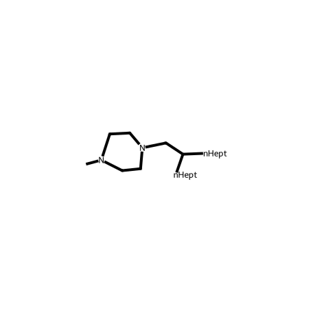 CCCCCCCC(CCCCCCC)CN1CCN(C)CC1